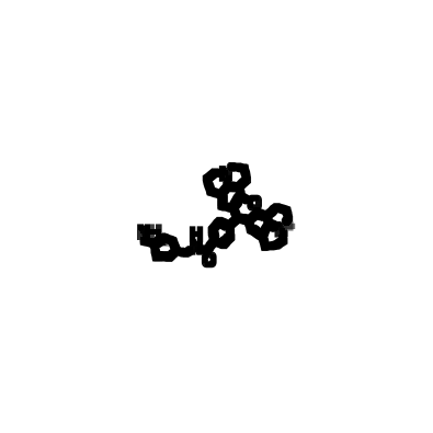 NCC1=CCC(CNC(=O)c2ccc(C3=c4cc5c6c(c4Oc4c3cc3c7c4CCCN7CCC3)CCC[N+]=6CCC5)cc2)C=C1